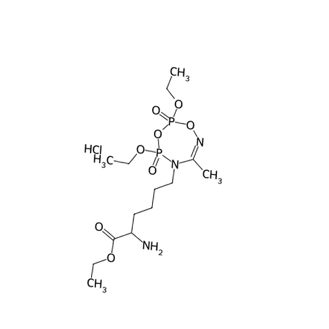 CCOC(=O)C(N)CCCCN1C(C)=NOP(=O)(OCC)OP1(=O)OCC.Cl